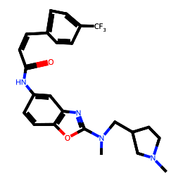 CN1CCC(CN(C)c2nc3cc(NC(=O)/C=C\c4ccc(C(F)(F)F)cc4)ccc3o2)C1